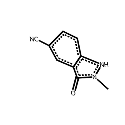 Cn1[nH]c2ccc(C#N)cc2c1=O